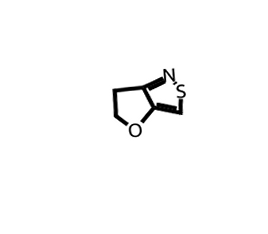 c1snc2c1OCC2